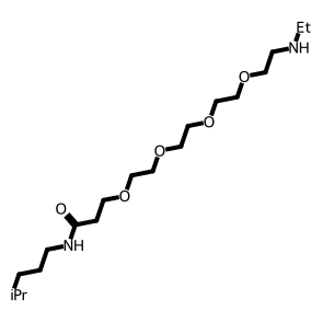 CCNCCOCCOCCOCCOCCC(=O)NCCCC(C)C